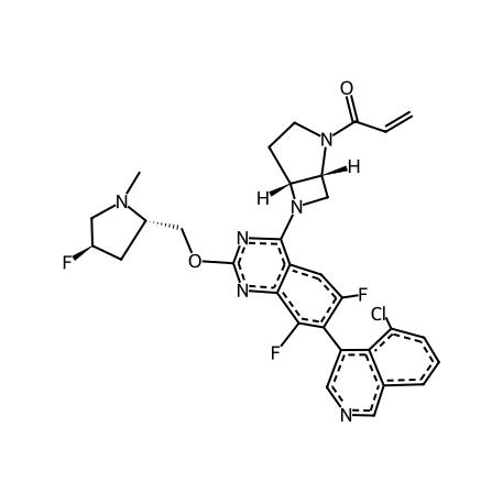 C=CC(=O)N1CC[C@@H]2[C@H]1CN2c1nc(OC[C@@H]2C[C@@H](F)CN2C)nc2c(F)c(-c3cncc4cccc(Cl)c34)c(F)cc12